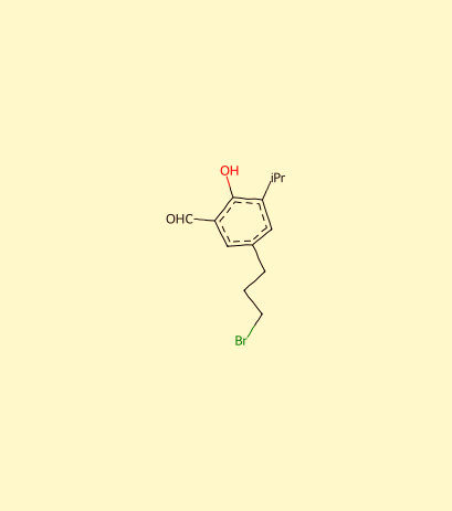 CC(C)c1cc(CCCBr)cc(C=O)c1O